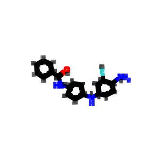 Nc1ccc(Nc2ccc(NC(=O)c3ccccc3)cc2)cc1F